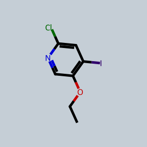 CCOc1cnc(Cl)cc1I